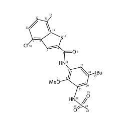 COc1c(NC(=O)c2cc3c(Cl)ccc(C)c3s2)cc(C(C)(C)C)cc1NS(C)(=O)=O